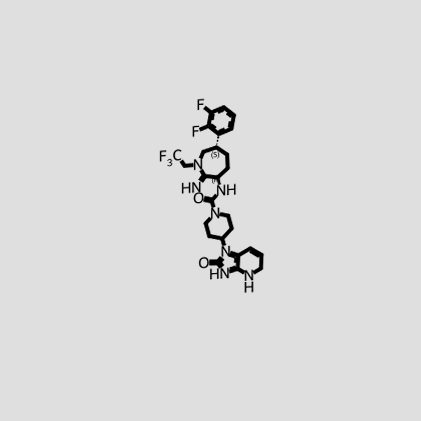 N=C1[C@H](NC(=O)N2CCC(n3c4c([nH]c3=O)NCC=C4)CC2)CC[C@@H](c2cccc(F)c2F)CN1CC(F)(F)F